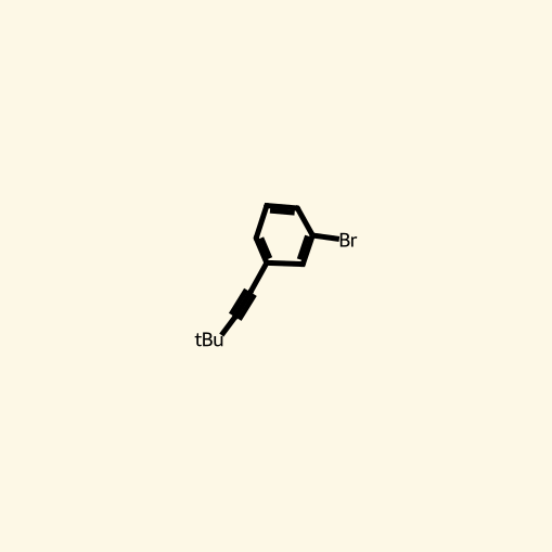 CC(C)(C)C#Cc1cccc(Br)c1